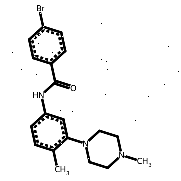 Cc1ccc(NC(=O)c2ccc(Br)cc2)cc1N1CCN(C)CC1